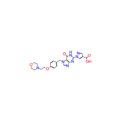 O=C(O)c1cnn(-c2nc3ncn(Cc4ccc(OCCN5CCOCC5)cc4)c3c(=O)[nH]2)c1